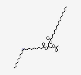 CCCCCCCC/C=C\CCCCCCCC(=O)O[C@@H](COC(C)=O)COC(=O)CCCCCCCCCCCCCCC